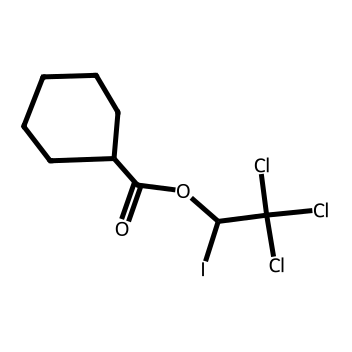 O=C(OC(I)C(Cl)(Cl)Cl)C1CCCCC1